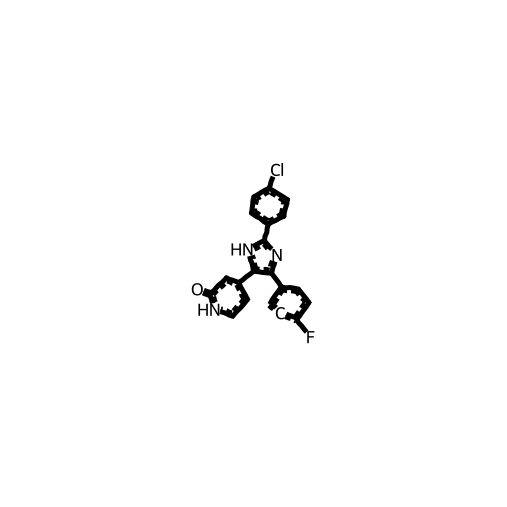 O=c1cc(-c2[nH]c(-c3ccc(Cl)cc3)nc2-c2ccc(F)cc2)cc[nH]1